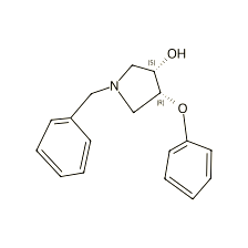 O[C@H]1CN(Cc2ccccc2)C[C@H]1Oc1ccccc1